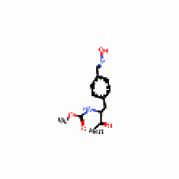 COC(=O)C(Cc1ccc(/C=N/O)cc1)NC(=O)OC(C)(C)C